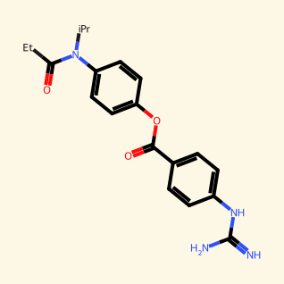 CCC(=O)N(c1ccc(OC(=O)c2ccc(NC(=N)N)cc2)cc1)C(C)C